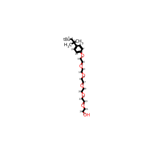 CC(C)(C)CC(C)(C)c1ccc(OCCOCCOCCOCCOCCOCCO)cc1